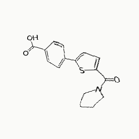 O=C(O)c1ccc(-c2ccc(C(=O)N3CCCC3)s2)cc1